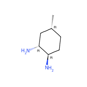 C[C@@H]1CC[C@@H](N)[C@H](N)C1